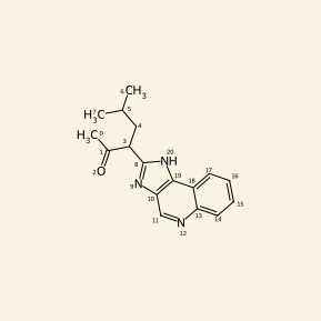 CC(=O)C(CC(C)C)c1nc2cnc3ccccc3c2[nH]1